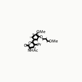 COCCCOc1cc(-c2oc(=O)c(NC(C)=O)cc2C(C)C)ccc1OC